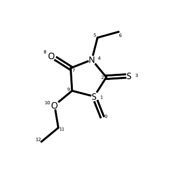 C=S1C(=S)N(CC)C(=O)C1OCC